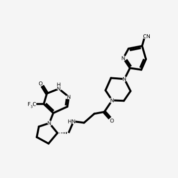 N#Cc1ccc(N2CCN(C(=O)CCNC[C@@H]3CCCN3c3cn[nH]c(=O)c3C(F)(F)F)CC2)nc1